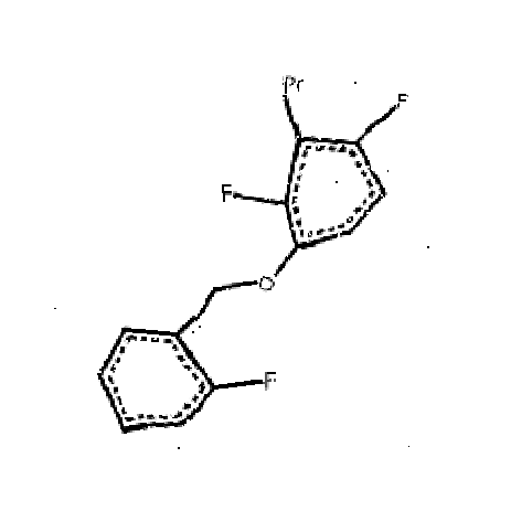 CC(C)c1c(F)ccc(OCc2ccccc2F)c1F